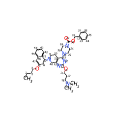 CCCCOc1cc(N2CCc3c(nc(OCCCN(C)C)nc3N3CCN(C(=O)OCc4ccccc4)CC3)C2)c2ccccc2c1